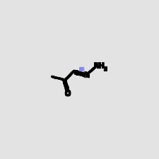 CC(=O)/C=N/N